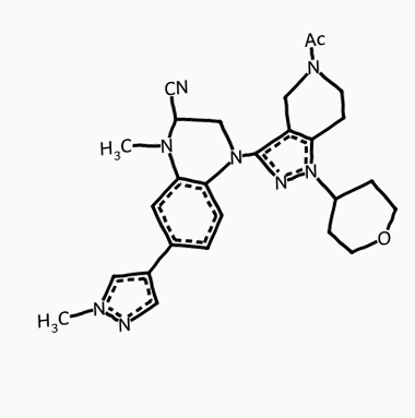 CC(=O)N1CCc2c(c(N3CC(C#N)N(C)c4cc(-c5cnn(C)c5)ccc43)nn2C2CCOCC2)C1